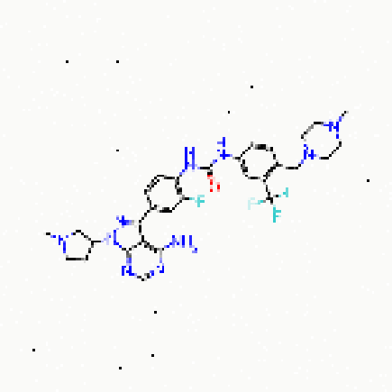 CN1CCN(Cc2ccc(NC(=O)Nc3ccc(-c4nn(C5CCN(C)C5)c5ncnc(N)c45)cc3F)cc2C(F)(F)F)CC1